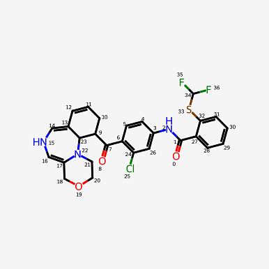 O=C(Nc1ccc(C(=O)C2CC=CC3=CNC=C4COCCN4C32)c(Cl)c1)c1ccccc1SC(F)F